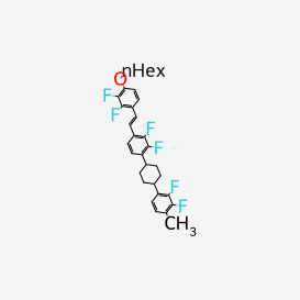 CCCCCCOc1ccc(/C=C/c2ccc(C3CCC(c4ccc(C)c(F)c4F)CC3)c(F)c2F)c(F)c1F